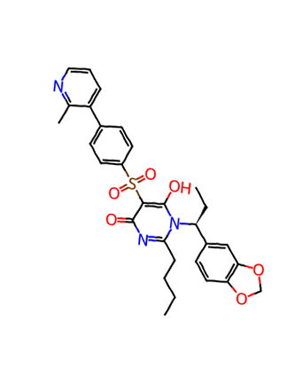 CCCCc1nc(=O)c(S(=O)(=O)c2ccc(-c3cccnc3C)cc2)c(O)n1[C@@H](CC)c1ccc2c(c1)OCO2